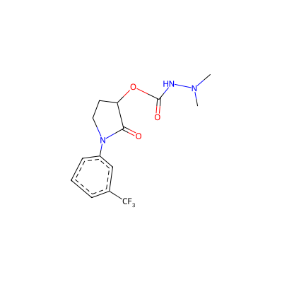 CN(C)NC(=O)OC1CCN(c2cccc(C(F)(F)F)c2)C1=O